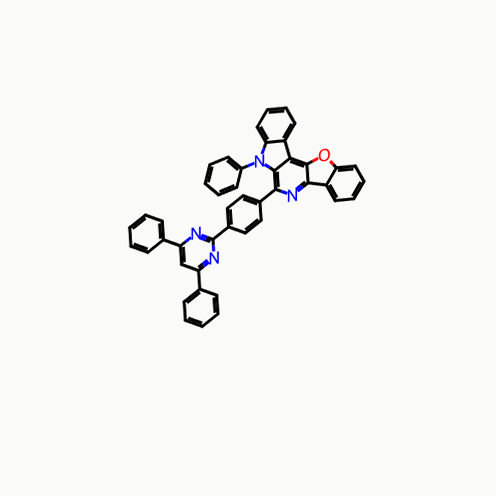 c1ccc(-c2cc(-c3ccccc3)nc(-c3ccc(-c4nc5c6ccccc6oc5c5c6ccccc6n(-c6ccccc6)c45)cc3)n2)cc1